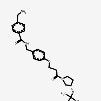 CC(C)(O)O[C@H]1CCN(C(=O)CCOc2ccc(CNC(=O)c3ccc(CN)cc3)cc2)C1